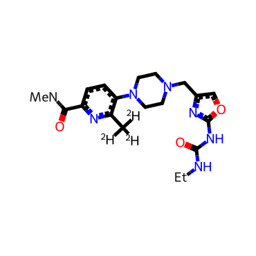 [2H]C([2H])([2H])c1nc(C(=O)NC)ccc1N1CCN(Cc2coc(NC(=O)NCC)n2)CC1